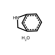 O.c1cc2cc(c1)NC2